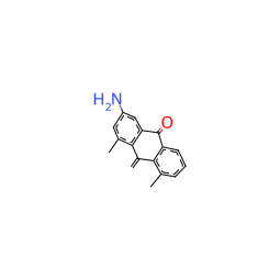 C=C1c2c(C)cccc2C(=O)c2cc(N)cc(C)c21